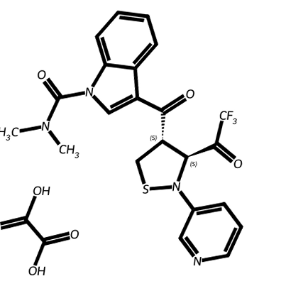 CN(C)C(=O)n1cc(C(=O)[C@H]2CSN(c3cccnc3)[C@@H]2C(=O)C(F)(F)F)c2ccccc21.O=C(O)C(=O)O